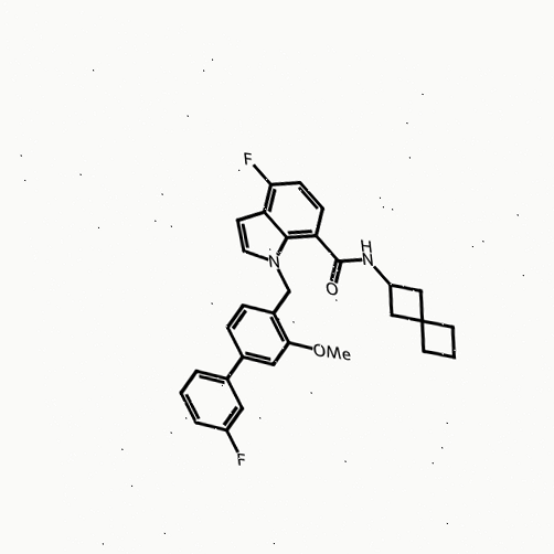 COc1cc(-c2cccc(F)c2)ccc1Cn1ccc2c(F)ccc(C(=O)NC3CC4(CCC4)C3)c21